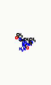 C=CC(=O)N1CC[C@@H](N(C)c2nnc(C(N)=O)c(Nc3cc(C)ns3)n2)C1